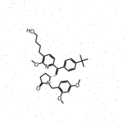 COc1ccc(CN2C(=O)CC[C@@H]2C=C(c2ccc(C(C)(C)C)cc2)c2ccc(CCCCO)c(OC)n2)c(OC)c1